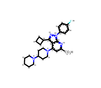 O=C(O)c1cc(N2CCC(N3CCCCC3)CC2)c2c(C3CCC3)nn(-c3ccc(F)cc3)c2n1